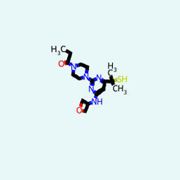 CCC(=O)N1CCN(c2nc(NC3COC3)cc(C(C)(C)S)n2)CC1